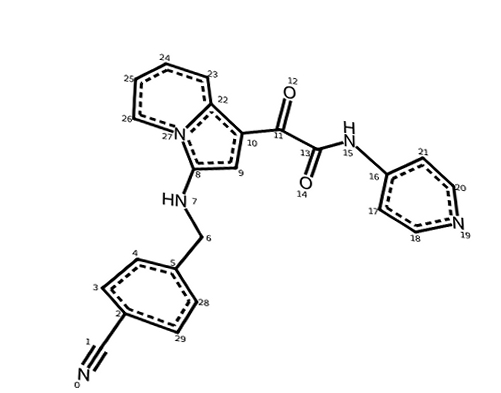 N#Cc1ccc(CNc2cc(C(=O)C(=O)Nc3ccncc3)c3ccccn23)cc1